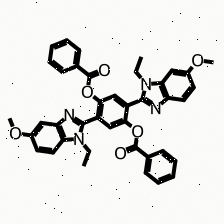 CCn1c(-c2cc(OC(=O)c3ccccc3)c(-c3nc4ccc(OC)cc4n3CC)cc2OC(=O)c2ccccc2)nc2cc(OC)ccc21